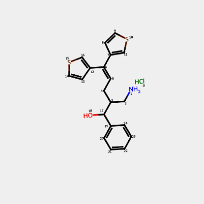 Cl.NCC(CC=C(c1ccsc1)c1ccsc1)C(O)c1ccccc1